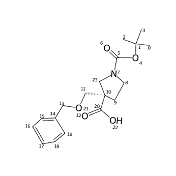 CC(C)(C)OC(=O)N1CC[C@@](COCc2ccccc2)(C(=O)O)C1